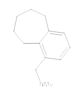 CNCc1cccc2c1CCCCC2